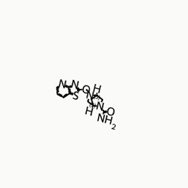 NC(=O)N1C[C@@H]2C[C@H]1CN2Oc1nc2ncccc2s1